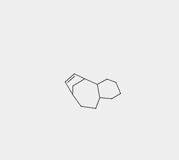 C1=CC2CC1CCC1CCCCC21